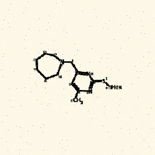 CCCCCCSc1nc(C)cc(CN2CCCCCC2)n1